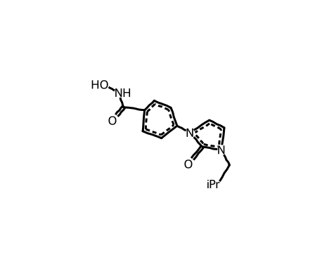 CC(C)Cn1ccn(-c2ccc(C(=O)NO)cc2)c1=O